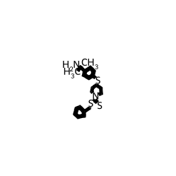 CC(C)(N)c1ccc(SC2CCN(C(=S)SCc3ccccc3)CC2)cc1